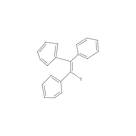 IC(=C(c1ccccc1)c1ccccc1)c1ccccc1